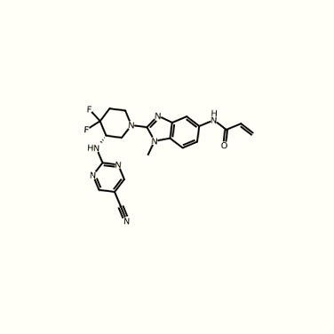 C=CC(=O)Nc1ccc2c(c1)nc(N1CCC(F)(F)[C@@H](Nc3ncc(C#N)cn3)C1)n2C